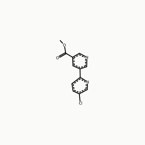 COC(=O)c1cncc(-c2ccc(Cl)cn2)c1